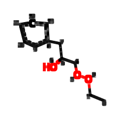 CCOOC[C@@H](O)Cc1ccccc1